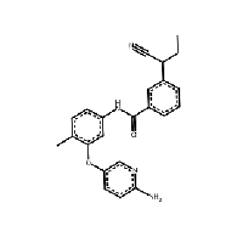 CCC(C#N)c1cccc(C(=O)Nc2ccc(C)c(Oc3ccc(N)nc3)c2)c1